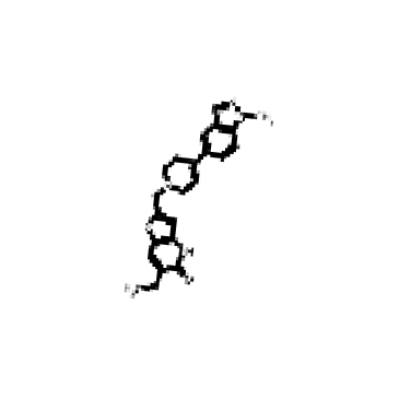 CCc1cc2sc(CN3CC=C(c4ccc5c(cnn5C)c4)CC3)cc2[nH]c1=O